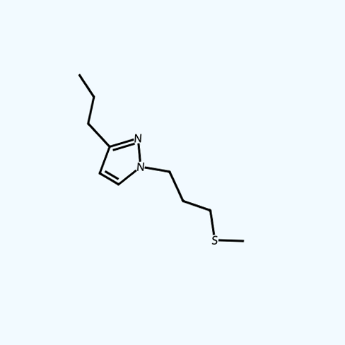 CCCc1ccn(CCCSC)n1